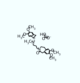 COc1cc2c(cc1OC)CC(=O)N(CCCN(C)C[C@H]1Cc3cc(OC)c(OC)cc31)CC2.O=[N+]([O-])O